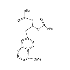 CCCCC(=O)OC(Cc1ccc2c(OC)cccc2c1)OC(=O)CCCC